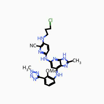 COc1c(Nc2cc(Nc3ccc(NCCCCl)c(C#N)n3)nc3[nH]c(C)nc23)cccc1-c1nnn(C)n1